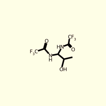 CC(O)C(NC(=O)C(F)(F)F)NC(=O)C(F)(F)F